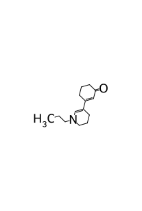 CCCN1C=C(C2=CC(=O)CCC2)CCC1